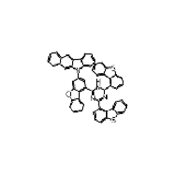 c1ccc2cc3c(cc2c1)c1ccccc1n3-c1cc(C2=NC(c3cccc4sc5ccccc5c34)=NC(c3cccc4sc5ccccc5c34)N2)c2c(c1)oc1ccccc12